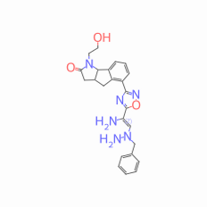 N/C(=C\N(N)Cc1ccccc1)c1nc(-c2cccc3c2CC2CC(=O)N(CCO)C32)no1